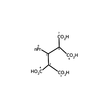 CCCC(C(C(=O)O)C(=O)O)C(C(=O)O)C(=O)O